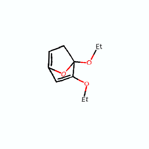 CCOC1=CC2=CCC1(OCC)O2